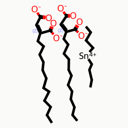 CCCCCCCCCCCC/C(=C/C(=O)[O-])C(=O)[O-].CCCCCCCCCCCC/C(=C/C(=O)[O-])C(=O)[O-].CCC[CH2][Sn+4][CH2]CCC